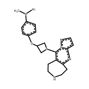 CC(=O)N(C)c1ccc(OC2CN(c3c4c(nc5ccnn35)CCNCC4)C2)cc1